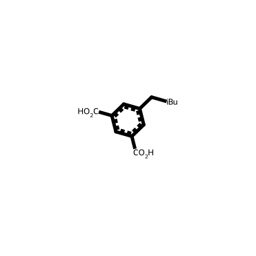 CCC(C)Cc1cc(C(=O)O)cc(C(=O)O)c1